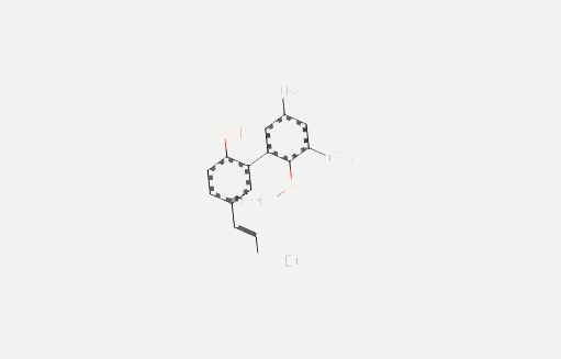 CCCCCOc1c(-c2cc(C=CC(=O)OCC)ccc2O)cc(C(C)(C)C)cc1C(C)(C)C